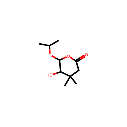 CC(C)OC1OC(=O)CC(C)(C)C1O